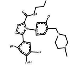 COc1cc(O)c(-c2nnc(C(=O)NCCF)n2-c2ccc(CN3CCN(C)CC3)c(Cl)c2)cc1C(C)C